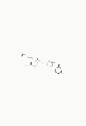 CC(C)OC(=O)[C@@H](C)NP(=O)(OCCSC(=O)C(C)(C)C)OC[C@H]1O[C@@H](n2ccc(N)nc2=O)[C@](F)(Cl)[C@@H]1O